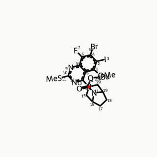 COc1c(I)c(Br)c(F)c2nc(SC)nc(N3CC4CCC(C3)N4C(=O)OC(C)(C)C)c12